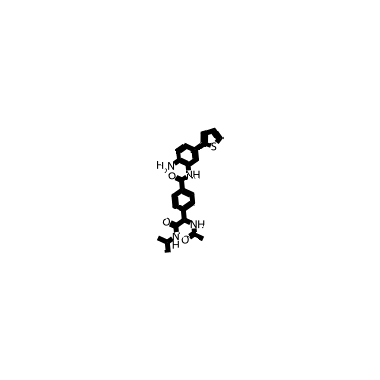 CC(=O)NC(C(=O)NC(C)C)c1ccc(C(=O)Nc2cc(-c3cccs3)ccc2N)cc1